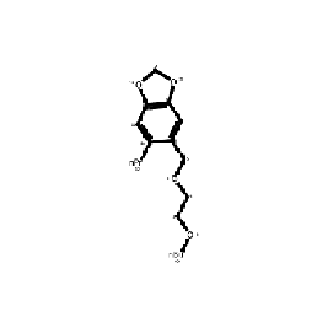 CCCCOCCOCc1cc2c(cc1CCC)OCO2